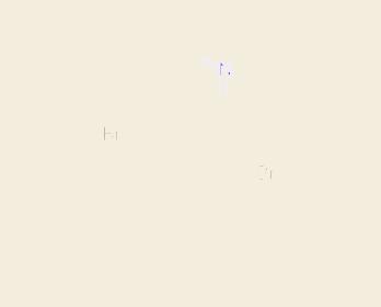 Brc1ccccc1-c1cnccc1Br